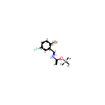 C=C(/N=C/c1cc(F)ccc1Br)O[Si](C)(C)C